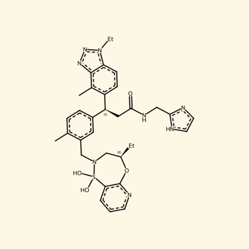 CC[C@@H]1CN(Cc2cc([C@H](CC(=O)NCc3ncc[nH]3)c3ccc4c(nnn4CC)c3C)ccc2C)S(O)(O)c2cccnc2O1